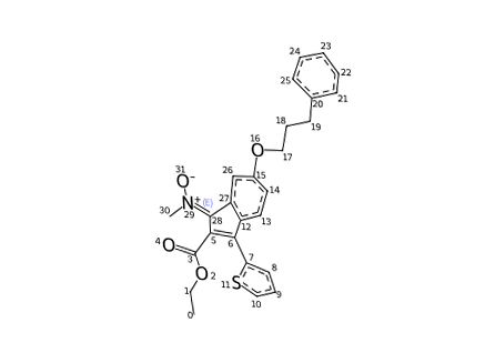 CCOC(=O)C1=C(c2cccs2)c2ccc(OCCCc3ccccc3)cc2/C1=[N+](/C)[O-]